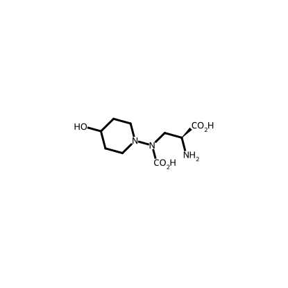 N[C@@H](CN(C(=O)O)N1CCC(O)CC1)C(=O)O